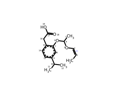 C/C=C\OC(C)Oc1cc(C(C)C)ccc1CC(=O)O